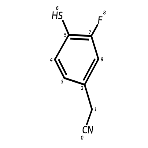 N#CCc1ccc(S)c(F)c1